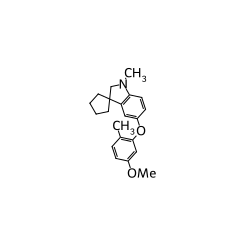 COc1ccc(C)c(Oc2ccc3c(c2)C2(CCCC2)CN3C)c1